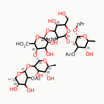 CCCO[C@@H]1OC(C)[C@H](O)C(OC(C)=O)[C@@H]1O[C@@H]1OC(CO)[C@H](O)C(O[C@@H]2OC(C(=O)O)[C@H](O[C@@H]3O[C@@H](C)[C@H](O)C(O)C3O[C@@H]3O[C@@H](C)[C@H](O)C(O)C3OC(C)=O)C(O)[C@@H]2O)[C@@H]1NC(C)=O